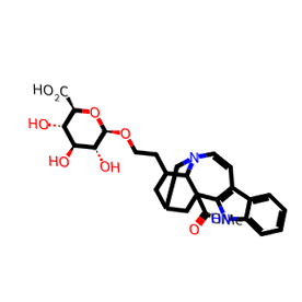 COC(=O)C12CC3CC(CCO[C@@H]4O[C@H](C(=O)O)[C@@H](O)[C@H](O)[C@H]4O)C1N(C=Cc1c2[nH]c2ccccc12)C3